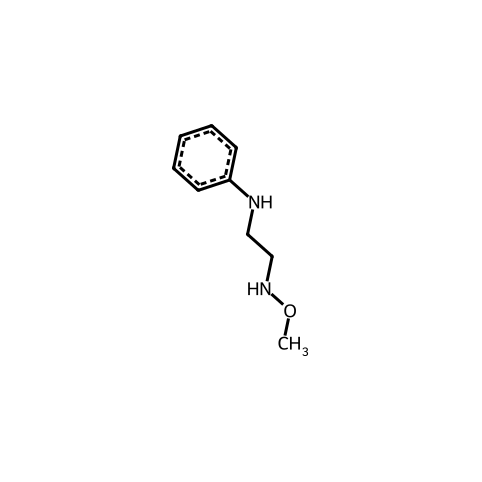 CONCCNc1ccccc1